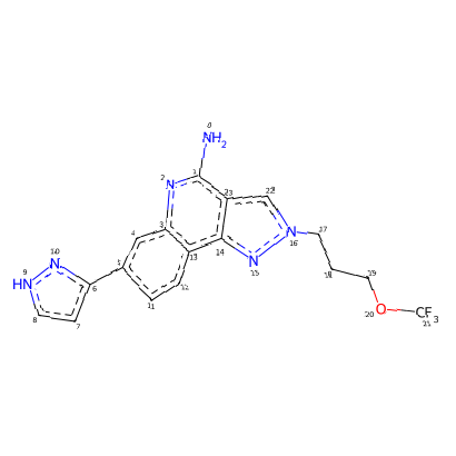 Nc1nc2cc(-c3cc[nH]n3)ccc2c2nn(CCCOC(F)(F)F)cc12